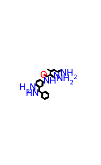 CC1=C/C(=C/N)N(N)C=C1C(=O)Nc1ccc(N)c(C(=N)c2ccccc2)c1